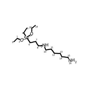 CCO[Si](CC)(CCCNCCCCCCN)OCC